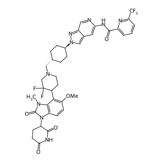 COc1ccc2c(c1C1CCN(C[C@H]3CC[C@H](n4cc5cc(NC(=O)c6cccc(C(F)(F)F)n6)ncc5n4)CC3)CC1(F)F)n(C)c(=O)n2C1CCC(=O)NC1=O